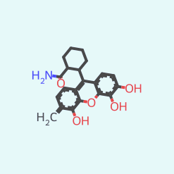 C=c1ccc2c(c1O)Oc1c(ccc(O)c1O)C=2C1CCCCC1C(N)=O